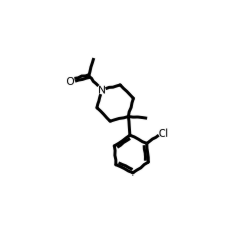 CC(=O)N1CCC(C)(c2cc[c]cc2Cl)CC1